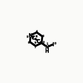 INC12CCN(CC1)CC2